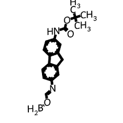 BOC=Nc1ccc2c(c1)Cc1cc(NC(=O)OC(C)(C)C)ccc1-2